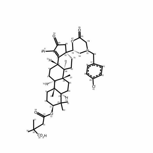 CC(C)C1=C2[C@H]3CC[C@@H]4[C@@]5(C)CC[C@H](OC(=O)CC(C)(C)C(=O)O)C(C)(C)[C@@H]5CC[C@@]4(C)[C@]3(C)CC[C@@]2([C@H]2CN(Cc3ccc(Cl)cc3)CC(=O)O2)CC1=O